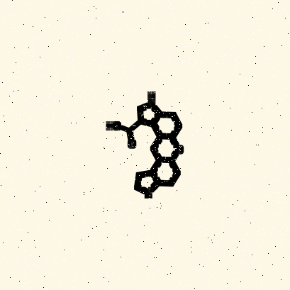 O=C(O)c1c[nH]c2ccc3oc4ccc5nccc5c4cc3c12